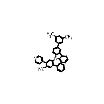 N#Cc1cc(-c2ccccc2)c(-n2c3ccccc3c3cc(-c4cc(C(F)(F)F)cc(C(F)(F)F)c4)ccc32)cc1-c1ccncc1